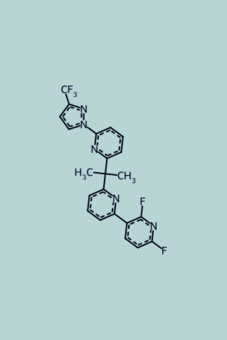 CC(C)(c1cccc(-c2ccc(F)nc2F)n1)c1cccc(-n2ccc(C(F)(F)F)n2)n1